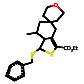 CCOC(=O)C1=C2CC3(CCOCC3)CC(C)C2C(SCc2ccccc2)S1